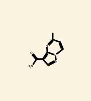 Cc1ccn2ncc(C(N)=O)c2n1